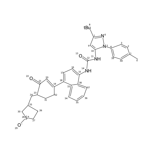 Cc1ccc(-n2nc(C(C)(C)C)cc2NC(=O)Nc2ccc(C3=CC(=O)C(CC4CC[S+]([O-])C4)CC3)c3ccccc23)cc1